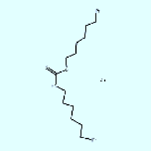 CC(C)CCCCCCNC(=S)SCCCCCCC(C)C.[Zn]